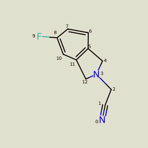 N#CCN1Cc2ccc(F)cc2C1